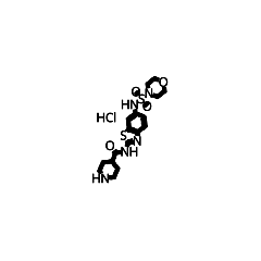 Cl.O=C(Nc1nc2ccc(NS(=O)(=O)N3CCOCC3)cc2s1)C1CCNCC1